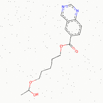 CC(O)OCCCCCOC(=O)c1ccc2ncncc2c1